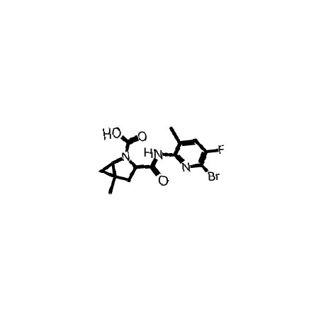 Cc1cc(F)c(Br)nc1NC(=O)C1CC2(C)CC2N1C(=O)O